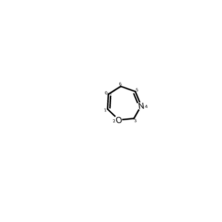 [C]1=COCN=CC1